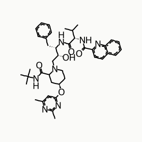 Cc1cc(O[C@@H]2CCN(C[C@@H](O)[C@H](Cc3ccccc3)NC(=O)[C@@H](NC(=O)c3ccc4ccccc4n3)C(C)C)C(C(=O)NC(C)(C)C)C2)nc(C)n1